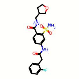 NS(=O)(=O)c1cc(NC(=O)Cc2ccccc2F)ccc1C(=O)NCC1CCOC1